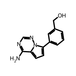 Nc1ncnn2c(-c3cccc(CO)c3)ccc12